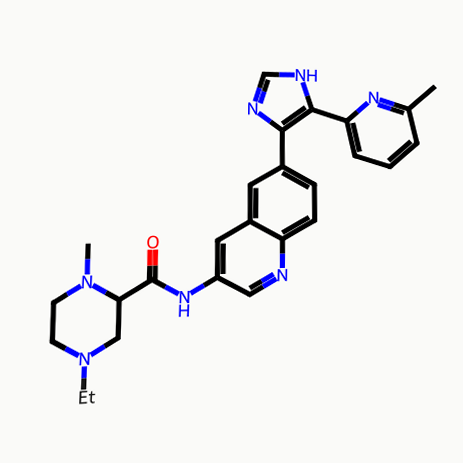 CCN1CCN(C)C(C(=O)Nc2cnc3ccc(-c4nc[nH]c4-c4cccc(C)n4)cc3c2)C1